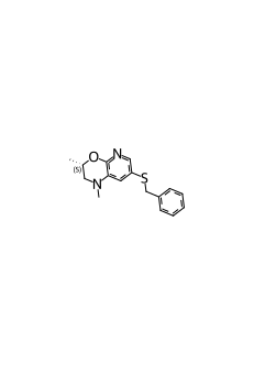 C[C@H]1CN(C)c2cc(SCc3ccccc3)cnc2O1